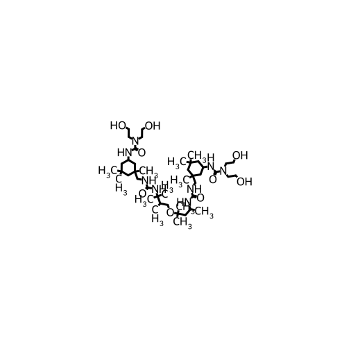 CC(CC(C)(C)OCC(C)C(C)(C)NC(=O)NCC1(C)CC(NC(=O)N(CCO)CCO)CC(C)(C)C1)NC(=O)NCC1(C)CC(NC(=O)N(CCO)CCO)CC(C)(C)C1